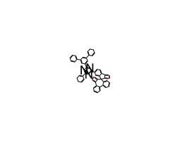 C1=CC(c2cc(-c3ccccc3)cc(-c3nc(C4=CCCC=C4)nc(-c4ccc5c(c4)C4(c6ccccc6-c6ccccc6-c6ccccc64)c4ccccc4-5)n3)c2)=CCC1